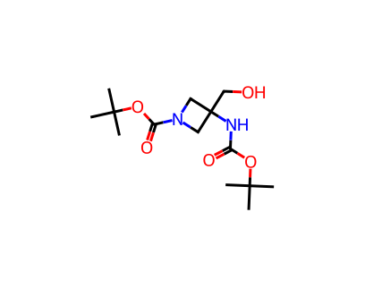 CC(C)(C)OC(=O)NC1(CO)CN(C(=O)OC(C)(C)C)C1